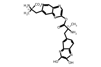 C[C@](N)(Cc1ccc2ncc(OC(=O)[C@@](C)(N)Cc3ccc4nc(O)c(O)nc4c3)nc2c1)C(=O)O